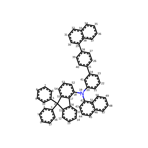 c1ccc(C2(c3ccccc3)c3ccccc3-c3c(N(c4cccc(-c5ccc(-c6cccc7ccccc67)cc5)c4)c4cccc5ccccc45)cccc32)cc1